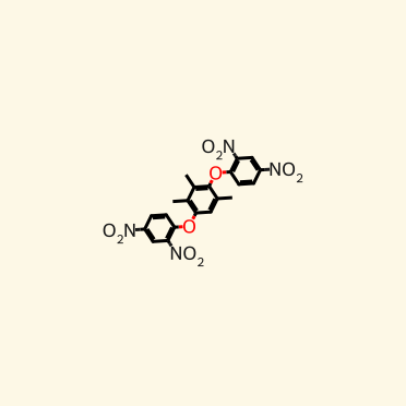 Cc1cc(Oc2ccc([N+](=O)[O-])cc2[N+](=O)[O-])c(C)c(C)c1Oc1ccc([N+](=O)[O-])cc1[N+](=O)[O-]